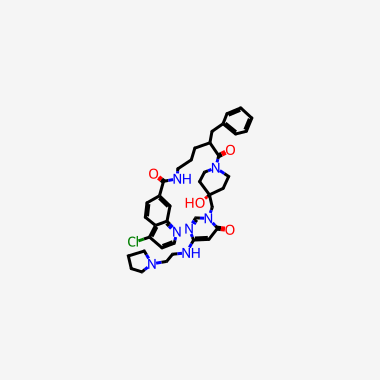 O=C(NCCCC(Cc1ccccc1)C(=O)N1CCC(O)(Cn2cnc(NCCN3CCCC3)cc2=O)CC1)c1ccc2c(Cl)ccnc2c1